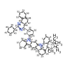 CC1CC2(C)c3c(cccc3C1(C)C)-n1c3cc4c(cc3c3cccc2c31)c1c(n4C2=CC=CC(c3nc(-c4ccccc4)nc4c3ccc3ccccc34)C2)=CCCC=1